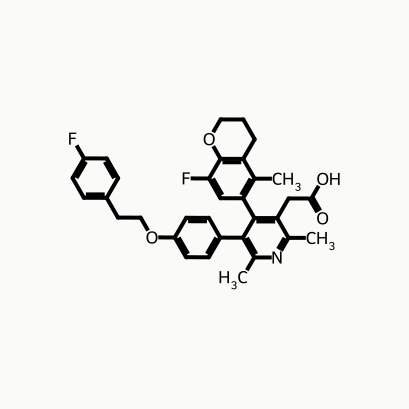 Cc1nc(C)c(-c2ccc(OCCc3ccc(F)cc3)cc2)c(-c2cc(F)c3c(c2C)CCCO3)c1CC(=O)O